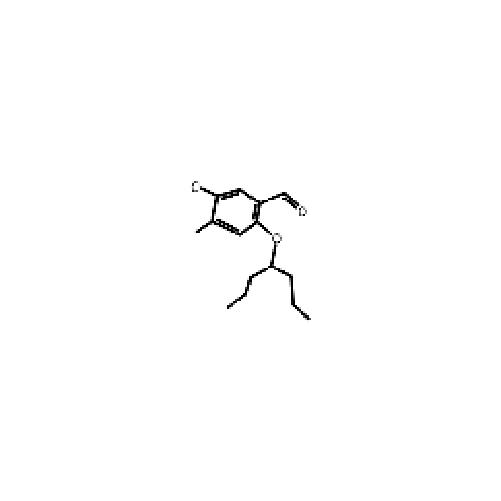 CCCC(CCC)Oc1cc(C)c(Cl)cc1C=O